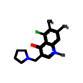 CCn1cc(CN2CCCC2)c(=O)c2c(F)c(C)c(C)cc21